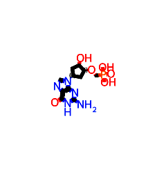 Nc1nc2c(ncn2[C@@H]2CC(O)[C@@H](OCP(=O)(O)O)C2)c(=O)[nH]1